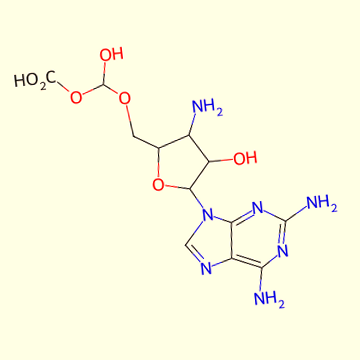 Nc1nc(N)c2ncn(C3OC(COC(O)OC(=O)O)C(N)C3O)c2n1